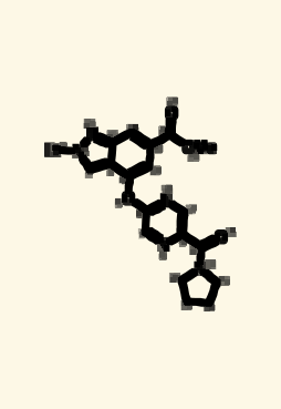 CCn1cc2c(Oc3cnc(C(=O)N4CCCC4)cn3)cc(C(=O)OC)cc2n1